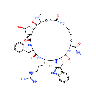 CN[C@H]1CCC(=O)NCCCC[C@@H](C(N)=O)NC(=O)[C@H](Cc2c[nH]c3ccccc23)NC(=O)[C@H](CCCNC(=N)N)NC(=O)[C@@H](Cc2ccccc2)NC(=O)[C@@H]2C[C@@H](O)CC2C1=O